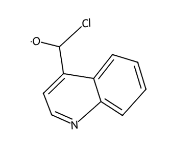 [O]C(Cl)c1ccnc2ccccc12